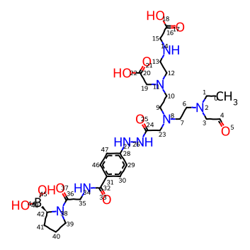 CCN(CC=O)CCN(CCN(CCNCC(=O)O)CC(=O)O)CC(=O)NNc1ccc(C(=O)NCC(=O)N2CCC[C@H]2B(O)O)cc1